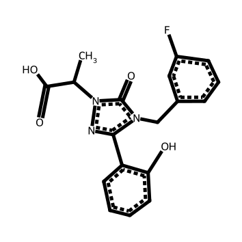 CC(C(=O)O)n1nc(-c2ccccc2O)n(Cc2cccc(F)c2)c1=O